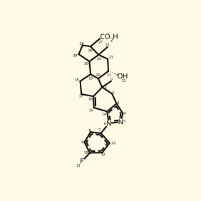 CC12Cc3cnn(-c4ccc(F)cc4)c3C=C1CCC1C2[C@@H](O)CC2(C)C(C(=O)O)CCC12